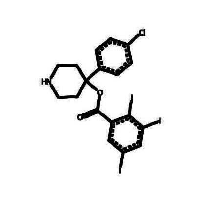 O=C(OC1(c2ccc(Cl)cc2)CCNCC1)c1cc(I)cc(I)c1I